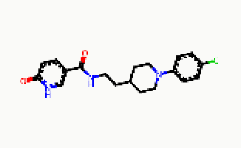 O=C(NCCC1CCN(c2ccc(Cl)cc2)CC1)c1ccc(=O)[nH]c1